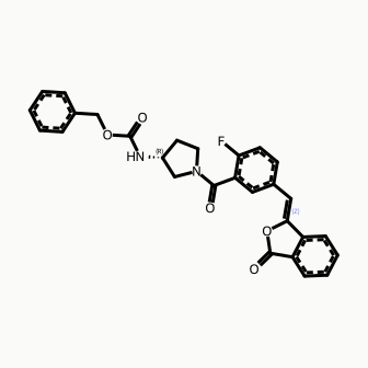 O=C(N[C@@H]1CCN(C(=O)c2cc(/C=C3\OC(=O)c4ccccc43)ccc2F)C1)OCc1ccccc1